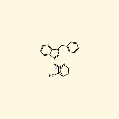 OC1/C(=C/c2cn(Cc3ccccc3)c3ccccc23)N2CCC1CC2